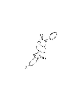 O=C1OC2(CCN(c3nc4cc(Cl)ccc4[nH]3)CC2)CN1c1ccccc1